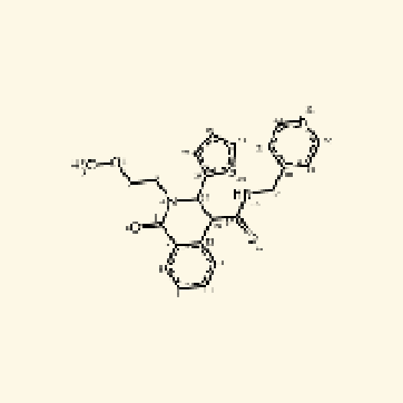 COCCN1C(=O)c2ccccc2C(C(=O)NCc2ccncc2)C1c1cccs1